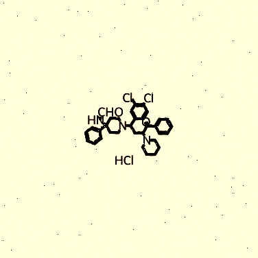 Cl.O=CNC1(c2ccccc2)CCN(C(CC(C(=O)c2ccccc2)N2CCCCC2)c2ccc(Cl)c(Cl)c2)CC1